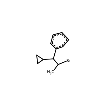 CC(Br)C(c1ccccc1)C1CC1